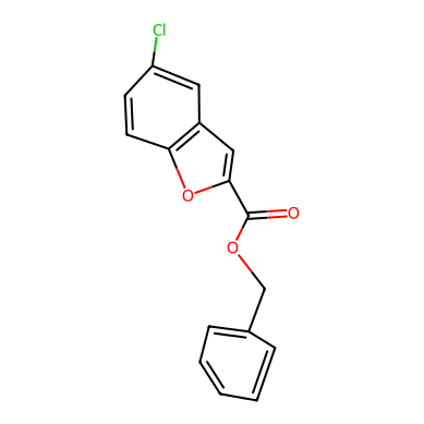 O=C(OCc1ccccc1)c1cc2cc(Cl)ccc2o1